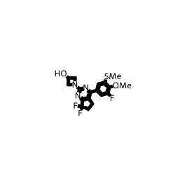 COc1c(F)cc(-c2nc(N3CC(O)C3)nc3c2CCC3(F)F)cc1SC